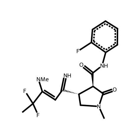 CN/C(=C\C(=N)[C@H]1CN(C)C(=O)[C@@H]1C(=O)Nc1ccccc1F)C(C)(F)F